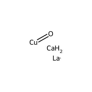 [CaH2].[La].[O]=[Cu]